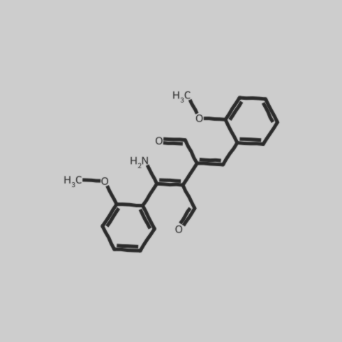 COc1ccccc1C=C(C=O)C(C=O)=C(N)c1ccccc1OC